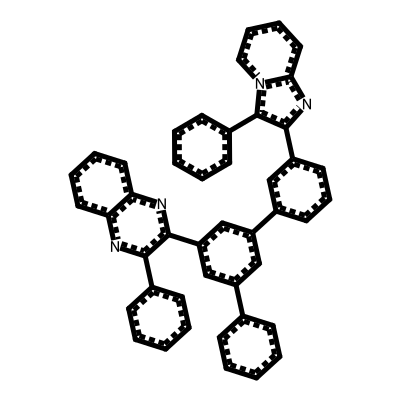 c1ccc(-c2cc(-c3cccc(-c4nc5ccccn5c4-c4ccccc4)c3)cc(-c3nc4ccccc4nc3-c3ccccc3)c2)cc1